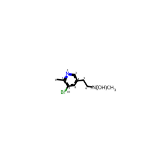 Cc1ncc(CCN(C)O)cc1Br